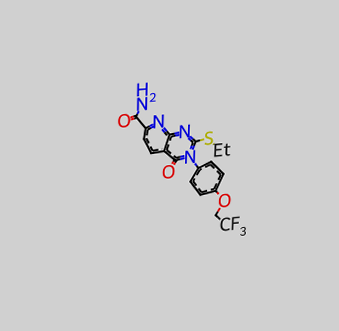 CCSc1nc2nc(C(N)=O)ccc2c(=O)n1-c1ccc(OCC(F)(F)F)cc1